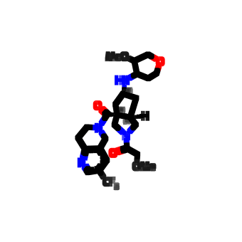 COCC(=O)N1C[C@@H]2C[C@@H](NC3CCOCC3OC)C[C@]2(C(=O)N2CCc3ncc(C(F)(F)F)cc3C2)C1